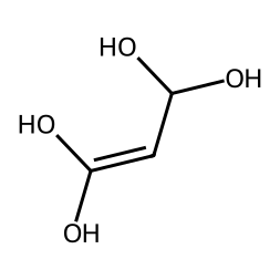 OC(O)=CC(O)O